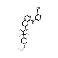 C#Cc1cccc(Nc2ncnc3ccc(NC(=O)C(C)(C)N4CCN(CC)CC4)cc23)c1